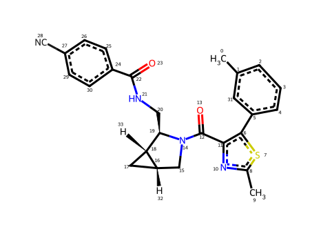 Cc1cccc(-c2sc(C)nc2C(=O)N2C[C@@H]3C[C@@H]3[C@H]2CNC(=O)c2ccc(C#N)cc2)c1